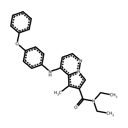 CCN(CC)C(=O)c1cn2nccc(Nc3ccc(Oc4ccccc4)cc3)c2c1C